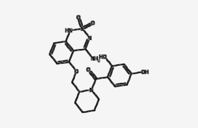 NC1=NS(=O)(=O)Nc2cccc(OCC3CCCCN3C(=O)c3ccc(O)cc3O)c21